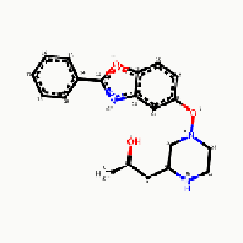 C[C@@H](O)CC1CN(Oc2ccc3oc(-c4ccccc4)nc3c2)CCN1